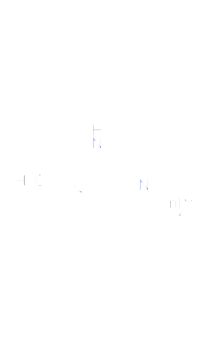 C=C1CN(CCC)CN1